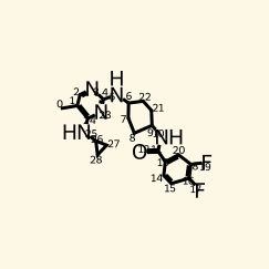 Cc1cnc(NC2CCC(NC(=O)c3ccc(F)c(F)c3)CC2)nc1NC1CC1